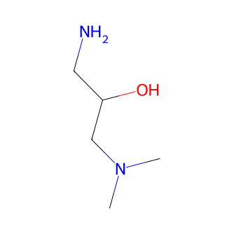 CN(C)CC(O)CN